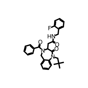 CC(C)(C)CN1C(=O)C(CC(=O)NCc2ccccc2F)N(C(=O)c2ccccc2)Cc2ccccc21